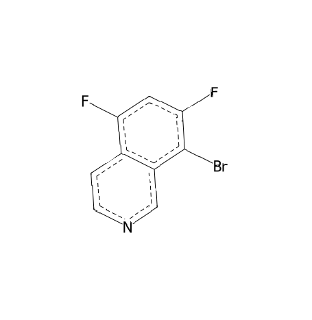 Fc1cc(F)c2ccncc2c1Br